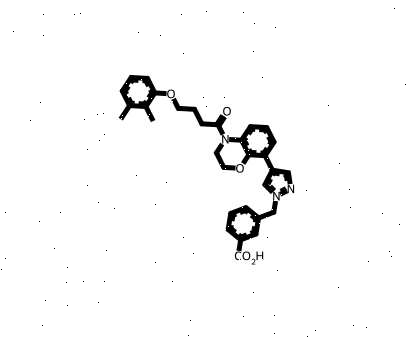 Cc1cccc(OCCCC(=O)N2CCOc3c(-c4cnn(Cc5cccc(C(=O)O)c5)c4)cccc32)c1C